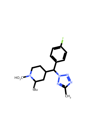 Cc1nnn(C(c2ccc(F)cc2)C2CCN(C(=O)O)C(C(C)(C)C)C2)n1